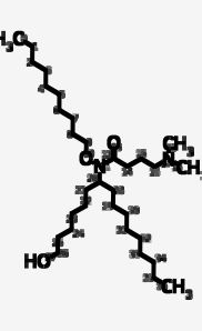 CCCCCCCCCCON(C(=O)CCCN(C)C)C(CCCCCCO)CCCCCCCCC